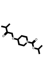 CC(C)OC(=O)N1CCC(OCC(=O)C(C)C)CC1